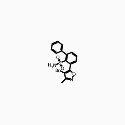 Cc1noc(-c2cccc(-c3ccccc3)c2S(N)(=O)=O)c1Br